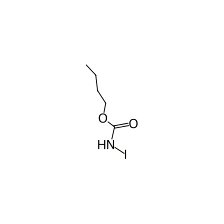 CCCCOC(=O)NI